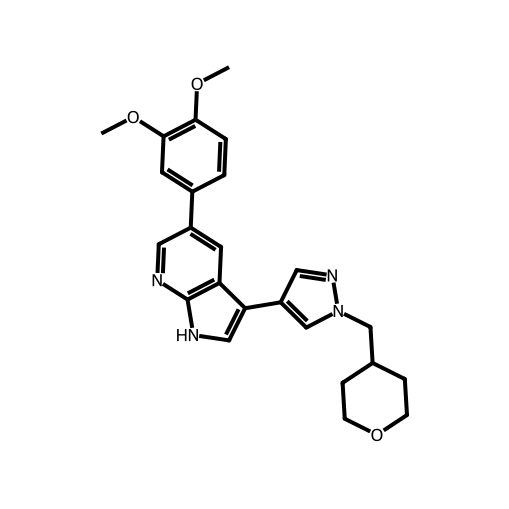 COc1ccc(-c2cnc3[nH]cc(-c4cnn(CC5CCOCC5)c4)c3c2)cc1OC